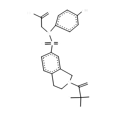 Cc1ccc(N(CC(=O)O)S(=O)(=O)c2ccc3c(c2)CN(C(=O)C(F)(F)F)CC3)cc1